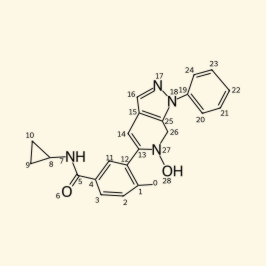 Cc1ccc(C(=O)NC2CC2)cc1C1=Cc2cnn(-c3ccccc3)c2CN1O